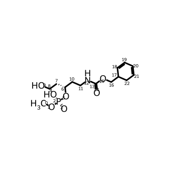 COP(=O)(O)O[C@H](CCO)CCNC(=O)OCC1C=CC=CC1